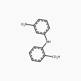 O=C(O)c1ccccc1Nc1cccc([N+](=O)[O-])c1